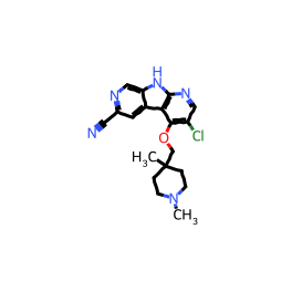 CN1CCC(C)(COc2c(Cl)cnc3[nH]c4cnc(C#N)cc4c23)CC1